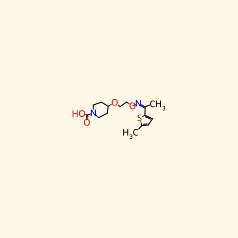 CC(=NOCCOC1CCN(C(=O)O)CC1)c1ccc(C)s1